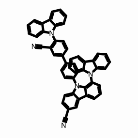 N#Cc1ccc2c(c1)c1cccc(-n3c4ccccc4c4ccccc43)c1n2-c1ccc(-c2ccc(-n3c4ccccc4c4ccccc43)c(C#N)c2)cc1